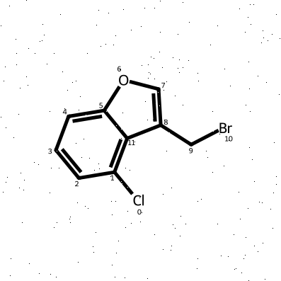 Clc1cccc2occ(CBr)c12